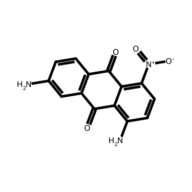 Nc1ccc2c(c1)C(=O)c1c(N)ccc([N+](=O)[O-])c1C2=O